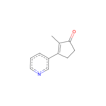 CC1=C(c2cccnc2)CCC1=O